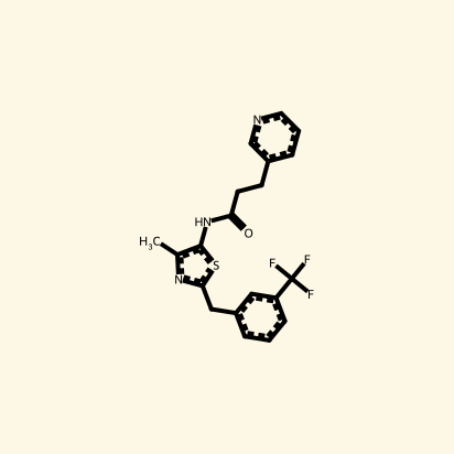 Cc1nc(Cc2cccc(C(F)(F)F)c2)sc1NC(=O)CCc1cccnc1